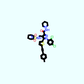 Cc1ccc(C#Cc2ccc(-c3c(CNS(=O)(=O)N4C5CCC4CC5)c(C(=O)NN4CCCCC4)nn3-c3ccc(Cl)cc3Cl)s2)cc1